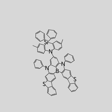 Cc1ccc2c(c1)[Si](c1ccccc1)(c1ccccc1)c1cc(C)ccc1N2c1cc2c3c(c1)N(c1ccccc1)c1cc4sc5ccccc5c4cc1B3c1cc3c(cc1N2c1ccccc1)sc1ccccc13